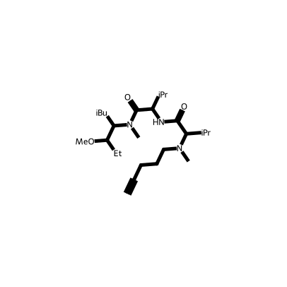 C#CCCCN(C)C(C(=O)NC(C(=O)N(C)C(C(C)CC)C(CC)OC)C(C)C)C(C)C